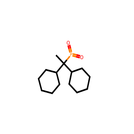 CC(C1CCCCC1)(C1CCCCC1)P(=O)=O